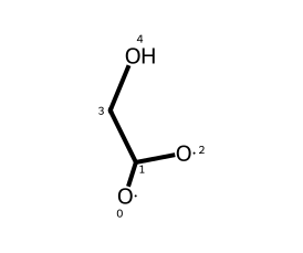 [O]C([O])CO